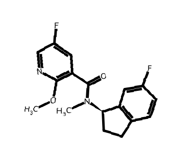 COc1ncc(F)cc1C(=O)N(C)[C@@H]1CCc2ccc(F)cc21